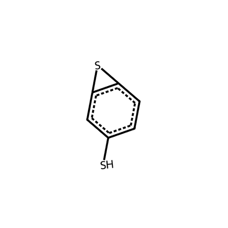 Sc1ccc2c(c1)S2